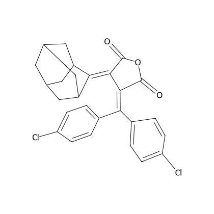 O=C1OC(=O)C(=C2C3CC4CC(C3)CC2C4)C1=C(c1ccc(Cl)cc1)c1ccc(Cl)cc1